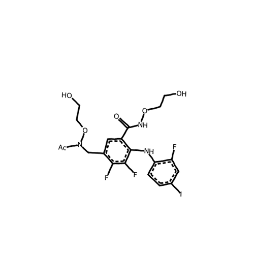 CC(=O)N(Cc1cc(C(=O)NOCCO)c(Nc2ccc(I)cc2F)c(F)c1F)OCCO